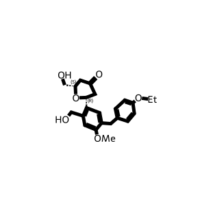 CCOc1ccc(Cc2cc([C@H]3CC(=O)C[C@@H](CO)O3)c(CO)cc2OC)cc1